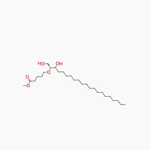 CCCCCCCCCCCCCCCCCCC(O)[C@H](CO)OCCCCC(=O)OC